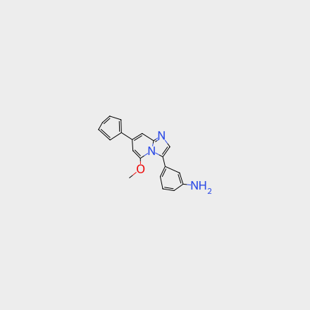 COc1cc(-c2ccccc2)cc2ncc(-c3cccc(N)c3)n12